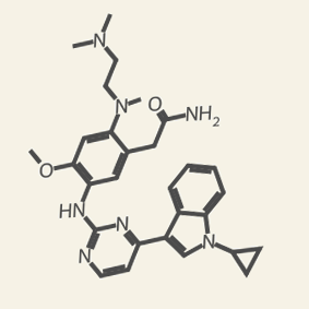 COc1cc(N(C)CCN(C)C)c(CC(N)=O)cc1Nc1nccc(-c2cn(C3CC3)c3ccccc23)n1